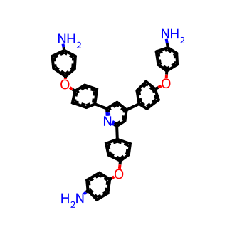 Nc1ccc(Oc2ccc(-c3cc(-c4ccc(Oc5ccc(N)cc5)cc4)nc(-c4ccc(Oc5ccc(N)cc5)cc4)c3)cc2)cc1